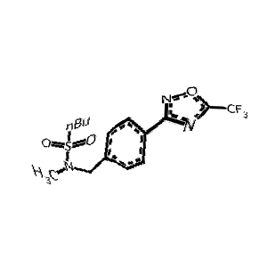 CCCCS(=O)(=O)N(C)Cc1ccc(-c2noc(C(F)(F)F)n2)cc1